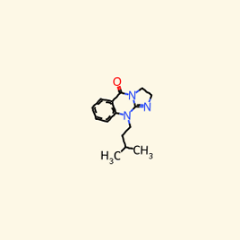 CC(C)CCN1C2=NCCN2C(=O)c2ccccc21